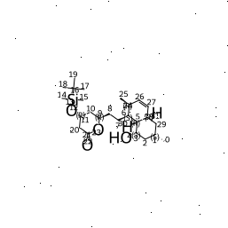 C[C@@H]1C[C@H](O)[C@@H]2[C@@H](CC[C@@H]3C[C@@H](O[Si](C)(C)C(C)(C)C)CC(=O)O3)[C@@H](C)C=C[C@H]2C1